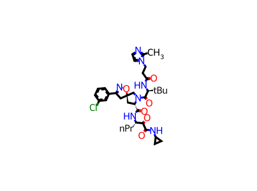 CCC[C@H](NC(=O)[C@@H]1C[C@]2(CC(c3cccc(Cl)c3)=NO2)CN1C(=O)[C@@H](NC(=O)CCn1ccnc1C)C(C)(C)C)C(=O)C(=O)NC1CC1